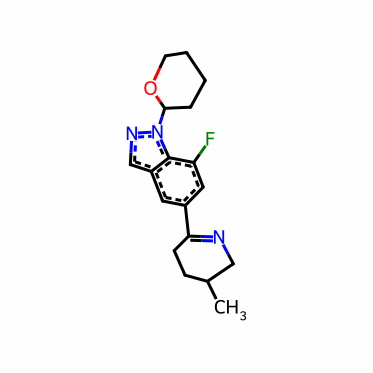 CC1CCC(c2cc(F)c3c(cnn3C3CCCCO3)c2)=NC1